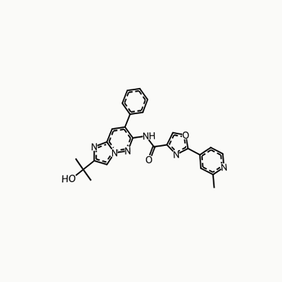 Cc1cc(-c2nc(C(=O)Nc3nn4cc(C(C)(C)O)nc4cc3-c3ccccc3)co2)ccn1